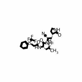 CC(C)C[C@H](NC(=O)C[SH](c1ccccc1)C(F)(F)F)C(=O)N[C@H](C#N)C[C@@H]1CCNC1=O